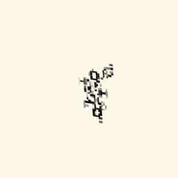 COc1cc(F)ccc1-c1nc(NC2Oc3c(CN4CCSCC4)cccc3NC2=O)ncc1F